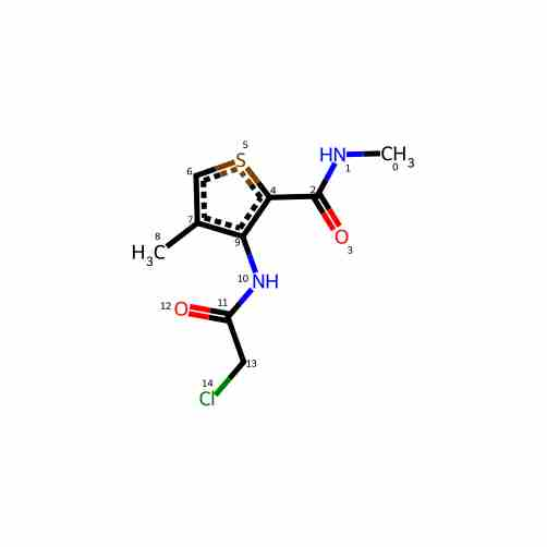 CNC(=O)c1scc(C)c1NC(=O)CCl